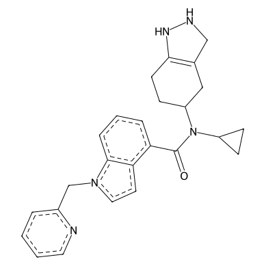 O=C(c1cccc2c1ccn2Cc1ccccn1)N(C1CC1)C1CCC2=C(CNN2)C1